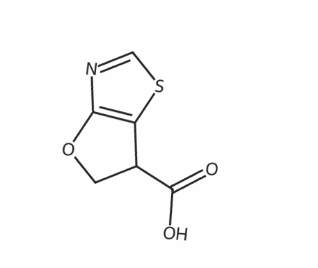 O=C(O)C1COc2ncsc21